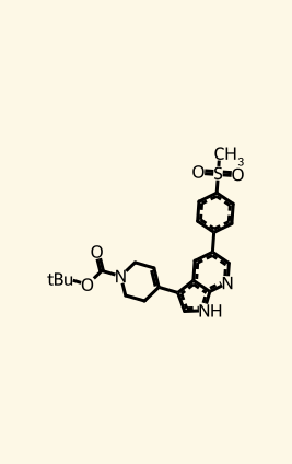 CC(C)(C)OC(=O)N1CC=C(c2c[nH]c3ncc(-c4ccc(S(C)(=O)=O)cc4)cc23)CC1